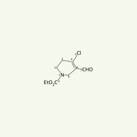 CCOC(=O)N1CCC(Cl)=C(C=O)C1